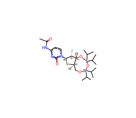 CC(=O)Nc1ccn([C@@H]2S[C@@H]3CO[Si](C(C)C)(C(C)C)O[Si](C(C)C)(C(C)C)O[C@H]3[C@H]2C)c(=O)n1